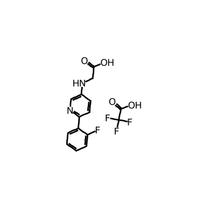 O=C(O)C(F)(F)F.O=C(O)CNc1ccc(-c2ccccc2F)nc1